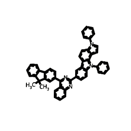 CC1(C)c2ccccc2-c2ccc(-c3nc(-c4ccc5c(c4)c4ccc6c(ccn6-c6ccccc6)c4n5-c4ccccc4)nc4ccccc34)cc21